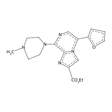 CCOC(=O)c1cn2c(-c3ccco3)cnc(N3CCN(C)CC3)c2n1